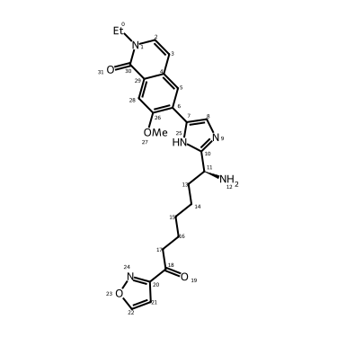 CCn1ccc2cc(-c3cnc([C@@H](N)CCCCCC(=O)c4ccon4)[nH]3)c(OC)cc2c1=O